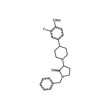 COc1ccc(C2CCN(C3CCN(Cc4ccccc4)C3=O)CC2)cc1F